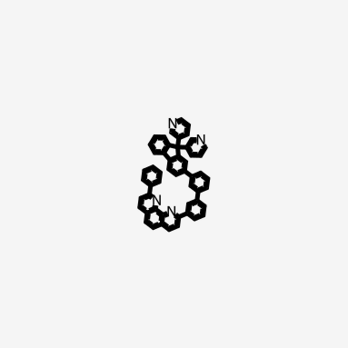 c1ccc(-c2ccc3ccc4ccc(-c5cccc(-c6cccc(-c7ccc8c(c7)C(c7cccnc7)(c7cccnc7)c7ccccc7-8)c6)c5)nc4c3n2)cc1